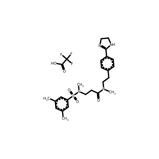 Cc1cc(C)cc(S(=O)(=O)N(C)CCC(=O)N(C)CCc2ccc(C3=NCCN3)cc2)c1.O=C(O)C(F)(F)F